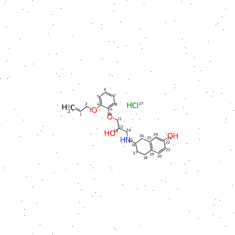 C=CCOc1ccccc1OCC(O)CNC1CCc2ccc(O)cc2C1.Cl